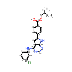 CC(C)COC(=O)c1ccc(-c2cc3c(Nc4cccc(Cl)c4)ncnc3[nH]2)cc1